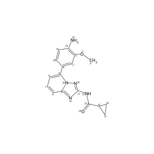 COc1cc(-c2cccc3nc(NC(=O)C4CC4)nn23)ccc1N